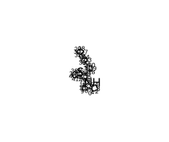 Cc1ccccc1-c1ccccc1Nc1cc(-c2cccc(-c3ccc(-c4ccccc4)cc3)c2)c2sc3ccccc3c2c1